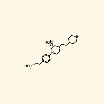 Cl.Cl.O=C(O)CCc1ccc(N2CCN(CCC3CCNCC3)CC2)cc1